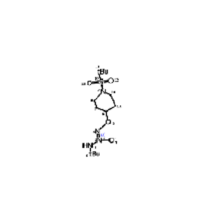 CC(C)(C)N/[N+]([O-])=N/OC1CCN(S(=O)(=O)C(C)(C)C)CC1